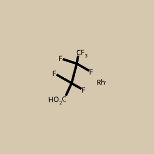 O=C(O)C(F)(F)C(F)(F)C(F)(F)F.[Rh]